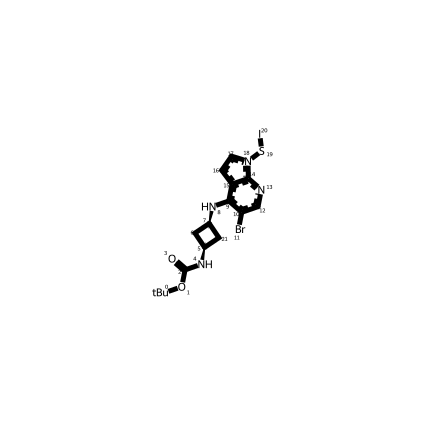 CC(C)(C)OC(=O)N[C@H]1C[C@@H](Nc2c(Br)cnc3c2ccn3SI)C1